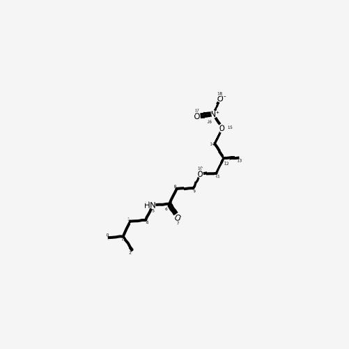 CC(C)CCNC(=O)CCOCC(C)CO[N+](=O)[O-]